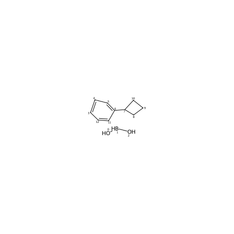 OBO.c1ccc(C2CCC2)cc1